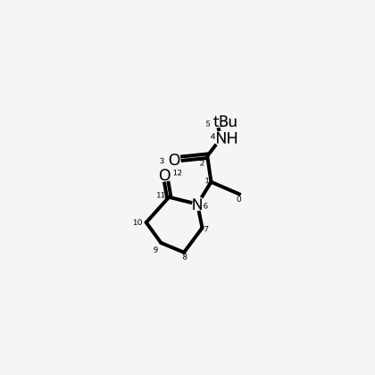 CC(C(=O)NC(C)(C)C)N1CCCCC1=O